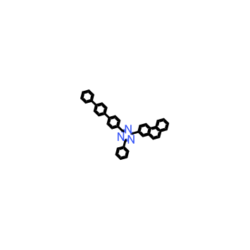 c1ccc(-c2ccc(-c3ccc(-c4nc(-c5ccccc5)nc(-c5ccc6c(ccc7ccccc76)c5)n4)cc3)cc2)cc1